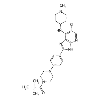 CN1CCC(Nc2c(Cl)cnc3[nH]c(-c4ccc(N5CCN(C(=O)C(C)(C)C)CC5)cc4)nc23)CC1